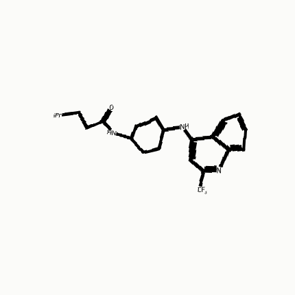 CC(C)CCC(=O)NC1CCC(Nc2cc(C(F)(F)F)nc3ccccc23)CC1